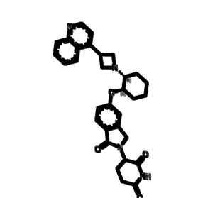 O=C1CCC(N2Cc3cc(O[C@@H]4CCCC[C@H]4N4CC(c5ccnc6ccccc56)C4)ccc3C2=O)C(=O)N1